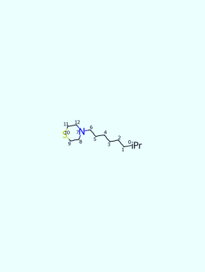 CC(C)CCCCCCN1CCSCC1